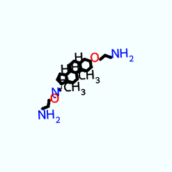 C[C@]12CC[C@H](OCCCN)C[C@H]1CC[C@H]1[C@H]3CC[C@@H](/C=N/OCCCN)[C@@]3(C)CC[C@@H]12